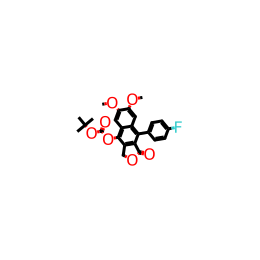 COc1cc2c(OC(=O)OC(C)(C)C)c3c(c(-c4ccc(F)cc4)c2cc1OC)C(=O)OC3